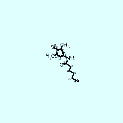 Cc1cc(NC(=O)CCCCBr)cc(C)c1Br